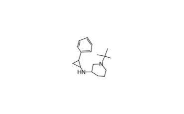 CC(C)(C)N1CCCC(NC2CC2c2ccccc2)C1